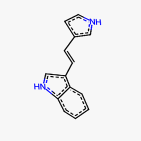 C(=Cc1c[nH]c2ccccc12)c1cc[nH]c1